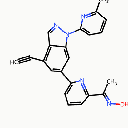 C#Cc1cc(-c2cccc(/C(C)=N/O)n2)cc2c1cnn2-c1cccc(C)n1